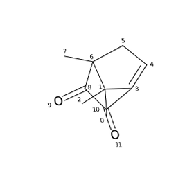 CC1(C)C2=CCC1(C)C(=O)C2=O